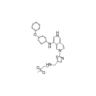 CS(=O)(=O)CCNCc1cnc(N2C=CC3=CNC=C(Nc4ccc(Oc5ccccc5)cc4)C3=C2)s1